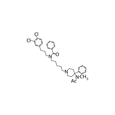 CC(=O)N(C)C1(c2ccccc2)CCN(CCCCCN(CCCc2ccc(Cl)c(Cl)c2)C(=O)c2ccccc2)CC1